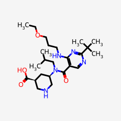 CCOCCCNc1nc(C(C)(C)C)ncc1C(=O)N(CC(C)C)[C@H]1CNC[C@@H](C(=O)O)C1